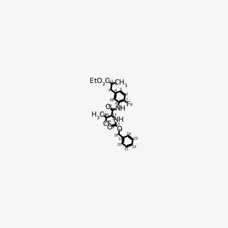 CCOC(=O)[C@@H](C)Cc1ccc(F)c(NC(=O)C(NC(=O)OCc2ccccc2)C(C)C(F)(F)F)c1